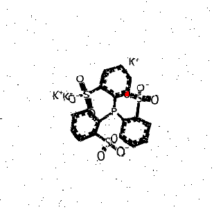 O=S(=O)([O-])c1ccccc1P(c1ccccc1S(=O)(=O)[O-])c1ccccc1S(=O)(=O)[O-].[K+].[K+].[K+]